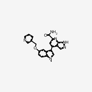 Cn1cc(-c2cc(C(N)=O)nc3[nH]ncc23)c2cc(OCc3cccnc3)ccc21